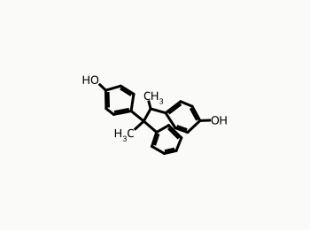 CC(c1ccc(O)cc1)C(C)(c1ccccc1)c1ccc(O)cc1